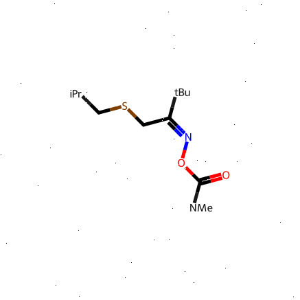 CNC(=O)ON=C(CSCC(C)C)C(C)(C)C